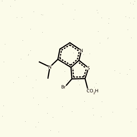 CN(C)c1ccnc2sc(C(=O)O)c(Br)c12